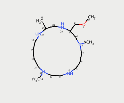 COCC1CN(C)CCCNCCN(C)CCCCNC(C)CN1